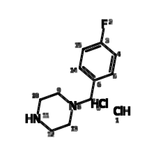 Cl.Cl.Fc1ccc(CN2CCNCC2)cc1